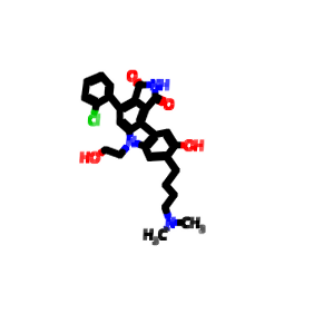 CN(C)CCCCc1cc2c(cc1O)c1c3c(c(-c4ccccc4Cl)cc1n2CCO)C(=O)NC3=O